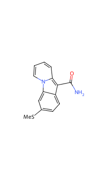 CSc1ccc2c(C(N)=O)c3ccccn3c2c1